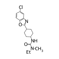 CCN(C)C(=O)NC1CCC(c2nc3cc(Cl)ccc3o2)CC1